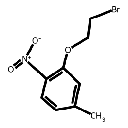 Cc1ccc([N+](=O)[O-])c(OCCBr)c1